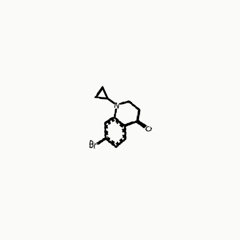 O=C1CCN(C2CC2)c2cc(Br)ccc21